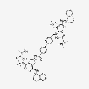 CN[C@@H](C)C(=O)N[C@@H](Cc1ccc(-c2ccc(C(=O)N[C@H]3C[C@@H](C(=O)N[C@@H]4CCCc5ccccc54)N(C(=O)[C@@H](NC(=O)[C@H](C)NC)C(C)(C)C)C3)cc2)cc1)C(=O)N1C[Si](C)(C)C[C@H]1C(=O)N[C@@H]1CCCc2ccccc21